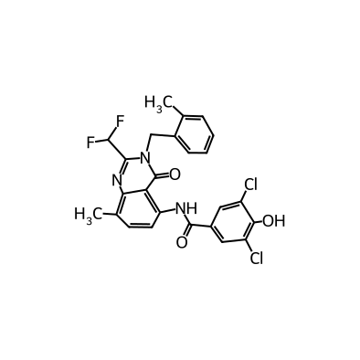 Cc1ccccc1Cn1c(C(F)F)nc2c(C)ccc(NC(=O)c3cc(Cl)c(O)c(Cl)c3)c2c1=O